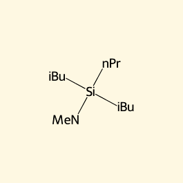 CCC[Si](NC)(C(C)CC)C(C)CC